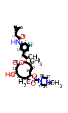 C/C(=C\c1cc(F)cc(NC(=O)CC2CC2)c1)[C@H]1OC(=O)C[C@H](O)CC[C@H](C)[C@@H](OC(=O)N2CCN(C)CC2)/C=C/[C@@H]1C